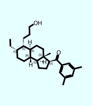 CC[C@H]1CC[C@@H]2[C@H](CC[C@]3(C)[C@@H](C(=O)c4cc(C)cc(C)c4)CC[C@@H]23)[C@H]1CCCO